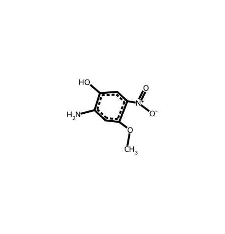 COc1cc(N)c(O)cc1[N+](=O)[O-]